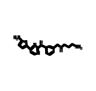 Bc1ccc(-c2ccnc(Nc3cccc(CNCCCN)c3)n2)s1